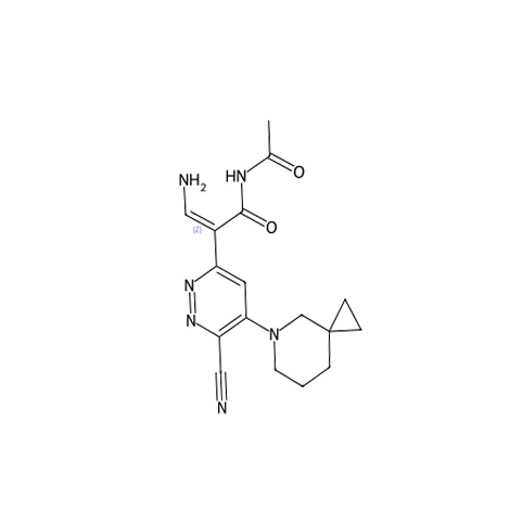 CC(=O)NC(=O)/C(=C\N)c1cc(N2CCCC3(CC3)C2)c(C#N)nn1